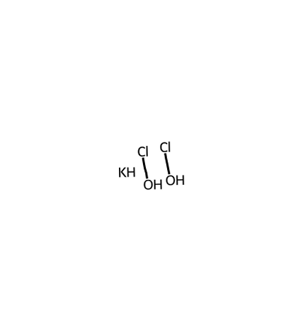 OCl.OCl.[KH]